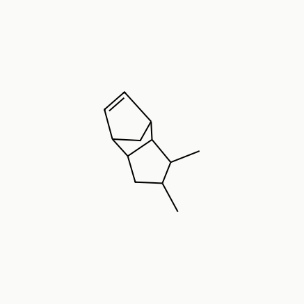 CC1CC2C3C=CC(C3)C2C1C